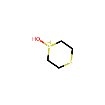 O[SH]1CCSCC1